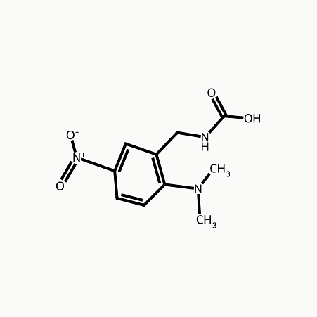 CN(C)c1ccc([N+](=O)[O-])cc1CNC(=O)O